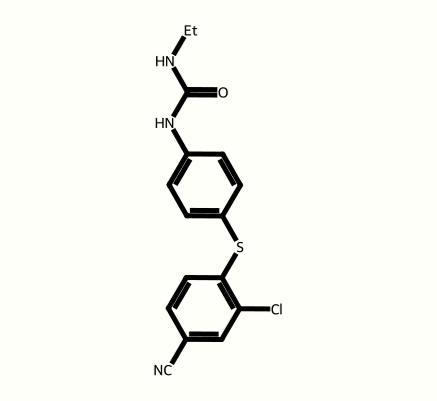 CCNC(=O)Nc1ccc(Sc2ccc(C#N)cc2Cl)cc1